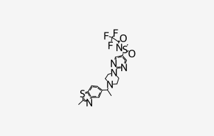 Cc1nc2cc(C(C)N3CCN(c4ncc(S(C)(=O)=NC(=O)C(F)(F)F)cn4)CC3)ccc2s1